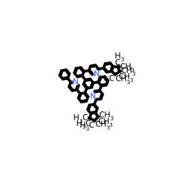 CC1(C)c2ccc(-c3ccc(-c4ccccc4-c4cc(-c5ccccc5-c5ccc(-c6ccccc6)nc5)cc(-c5ccccc5-c5ccc(-c6ccc7c(c6)C(C)(C)C(C)(C)C7(C)C)nc5)c4)cn3)cc2C(C)(C)C1(C)C